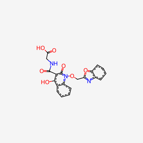 O=C(O)CNC(=O)c1c(O)c2ccccc2n(OCc2nc3ccccc3o2)c1=O